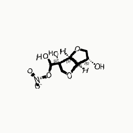 O=[N+]([O-])O[C](O)[C@]1(O)CO[C@@H]2[C@@H](O)CO[C@@H]21